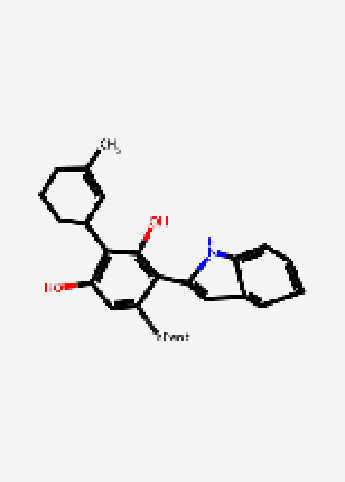 CCCCCc1cc(O)c(C2C=C(C)CCC2)c(O)c1-c1cc2ccccc2[nH]1